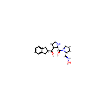 O=C(C1Cc2ccccc2C1)C1CCN[C@H]1C(=O)N1CCC[C@H]1C=NO